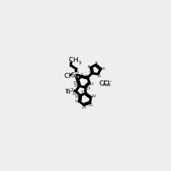 CCC[Si]1(Cl)c2c(C3=CC=CC3)cc3c(c21)[CH]([Ti+2])c1ccccc1-3.[Cl-].[Cl-]